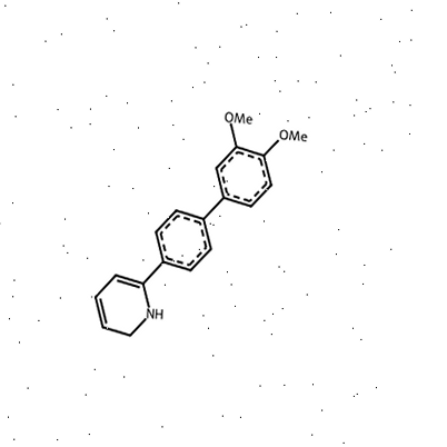 COc1ccc(-c2ccc(C3=C[C]=CCN3)cc2)cc1OC